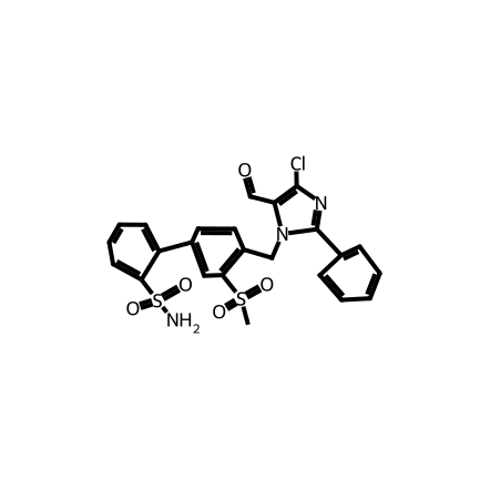 CS(=O)(=O)c1cc(-c2ccccc2S(N)(=O)=O)ccc1Cn1c(-c2ccccc2)nc(Cl)c1C=O